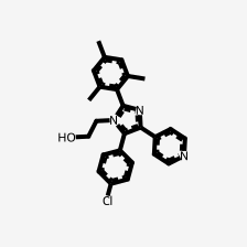 Cc1cc(C)c(-c2nc(-c3ccncc3)c(-c3ccc(Cl)cc3)n2CCO)c(C)c1